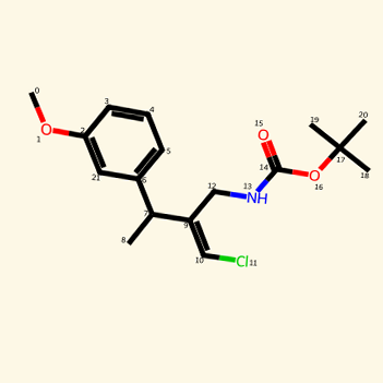 COc1cccc(C(C)/C(=C/Cl)CNC(=O)OC(C)(C)C)c1